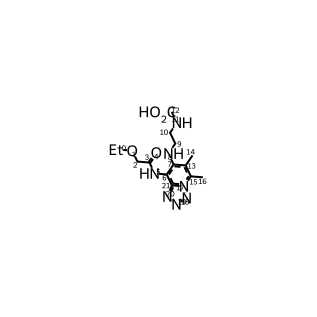 CCOCC(=O)Nc1c(NCCNC(=O)O)c(C)c(C)n2nnnc12